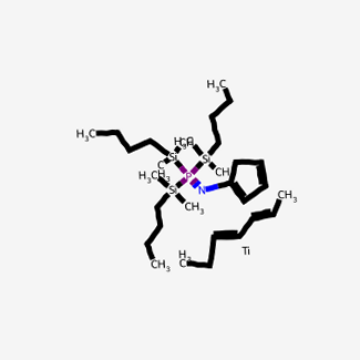 CC=CC=CCC.CCCC[Si](C)(C)P(=NC1=CC=CC1)([Si](C)(C)CCCC)[Si](C)(C)CCCC.[Ti]